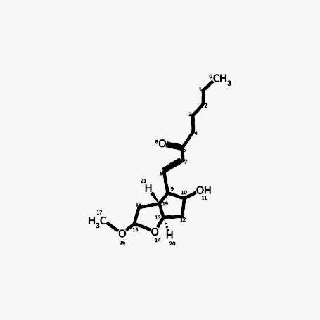 CCCCCC(=O)C=CC1C(O)C[C@H]2OC(OC)C[C@H]12